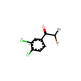 CCC(Br)C(=O)c1ccc(Cl)c(Cl)c1